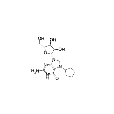 Nc1nc2c(c(=O)[nH]1)N(C1CCCC1)CN2[C@@H]1O[C@H](CO)[C@@H](O)[C@H]1O